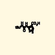 Cc1cc(C(=O)O)c(NC(=O)NC(C)(C)C)s1